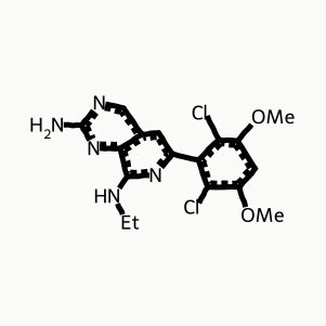 CCNc1nc(-c2c(Cl)c(OC)cc(OC)c2Cl)cc2cnc(N)nc12